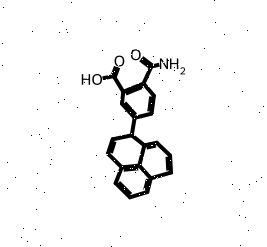 NC(=O)c1ccc(C2C=Cc3cccc4cccc2c34)cc1C(=O)O